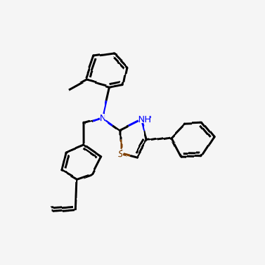 C=CC1C=CC(CN(c2ccccc2C)C2NC(C3C=CC=CC3)=CS2)=CC1